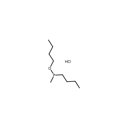 CCCCOP(C)CCCC.Cl